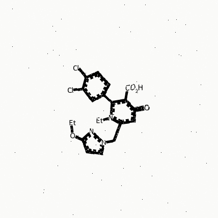 CCOc1ccn(Cc2cc(=O)c(C(=O)O)c(-c3ccc(Cl)c(Cl)c3)n2CC)n1